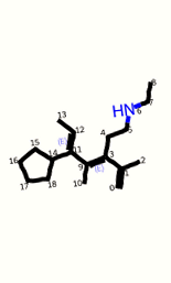 C=C(C)/C(CCNCC)=C(C)/C(=C/C)C1CCCC1